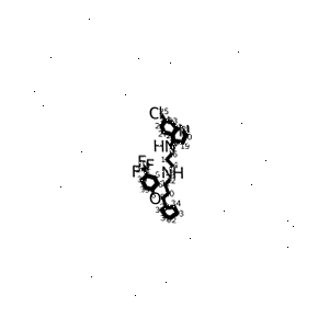 FC(F)(F)c1ccc(OC(CCCNCCCNc2ccnc3cc(Cl)ccc23)c2ccccc2)cc1